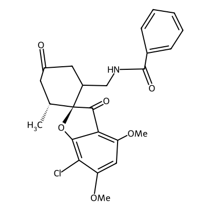 COc1cc(OC)c2c(c1Cl)O[C@]1(C2=O)C(CNC(=O)c2ccccc2)CC(=O)C[C@H]1C